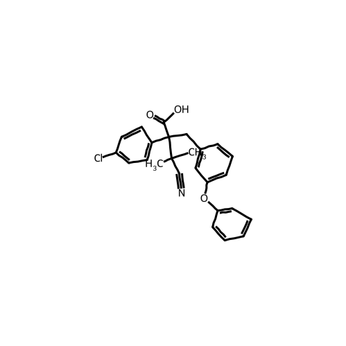 CC(C)(C#N)C(Cc1cccc(Oc2ccccc2)c1)(C(=O)O)c1ccc(Cl)cc1